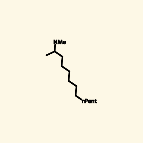 CCCCCCCCCCCC(C)NC